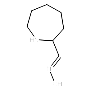 O/N=C/C1CCCCCN1